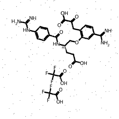 N=C(N)Nc1ccc(C(=O)N[C@H](CCC(=O)O)COc2cc(C(=N)N)ccc2CC(=O)C(=O)O)cc1.O=C(O)C(F)(F)F.O=C(O)C(F)(F)F